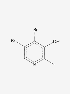 Cc1ncc(Br)c(Br)c1O